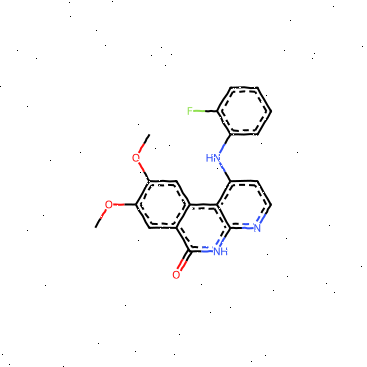 COc1cc2c(=O)[nH]c3nccc(Nc4ccccc4F)c3c2cc1OC